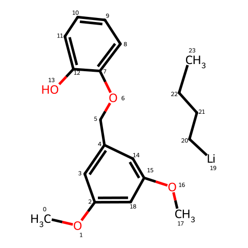 COc1cc(COc2ccccc2O)cc(OC)c1.[Li][CH2]CCC